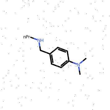 CCCNCc1ccc(N(C)C)cc1